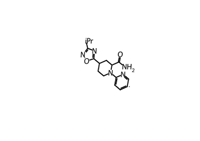 CC(C)c1noc(C2CCN(c3cc[c]cn3)C(C(N)=O)C2)n1